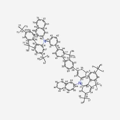 CC(C)(C)c1ccc2c(c1)C(C)(C)C1=CC(C(C)(C)C)CC(N(C3=CCCC(c4ccc5c(c4)C(C)(C)c4cc(-c6cccc(N(c7ccc8ccccc8c7)c7cc(C(C)(C)C)cc8c7-c7ccc(C(C)(C)C)cc7C8(C)C)c6)ccc4-5)=C3)c3ccc4ccccc4c3)=C12